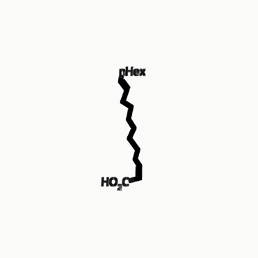 CCCCCCC=CCCCCCCC/C=C\C(=O)O